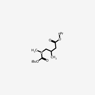 CCCOC(=O)CC(C)CN(C)C(=O)OCC(C)C